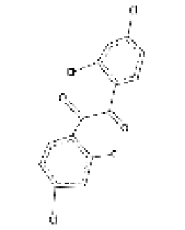 O=C(C(=O)c1ccc(Cl)cc1Cl)c1ccc(Cl)cc1Cl